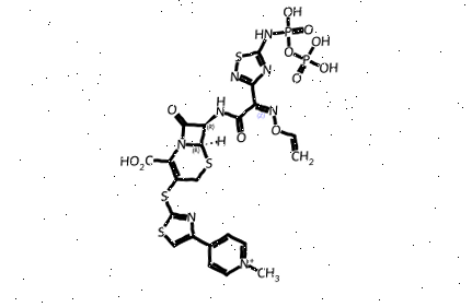 C=CO/N=C(\C(=O)N[C@@H]1C(=O)N2C(C(=O)O)=C(Sc3nc(-c4cc[n+](C)cc4)cs3)CS[C@H]12)c1nsc(NP(=O)(O)OP(=O)(O)O)n1